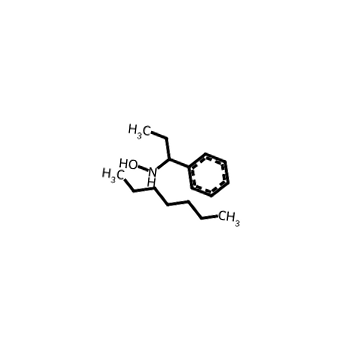 CCC(NO)c1ccccc1.CCCCCCC